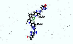 COc1nc(-c2cccc(-c3ccnc(-c4cc(OC)c5nc(CNCC6CCC(=O)N6)nn5c4)c3Cl)c2Cl)ccc1CNCC1CCC(=O)N1